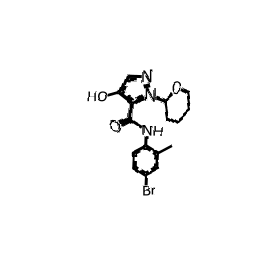 Cc1cc(Br)ccc1NC(=O)c1c(O)cnn1C1CCCCO1